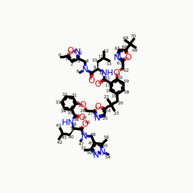 Cc1cc(CN(C)C(=O)[C@@H](CC(C)C)NC(=O)c2cc(CC(C)(C)c3cnc(COc4ccccc4C(=O)N[C@H](CC(C)C)C(=O)N(C)Cc4c(C)nn(C)c4C)o3)ccc2OCc2ncc(C(C)(C)C)o2)no1